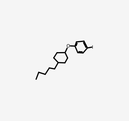 CCCCCC1CCC(Oc2ccc(I)cc2)CC1